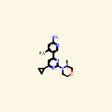 C[C@H]1COCCN1c1nc(-c2cnc(N)cc2C(F)(F)F)cc(C2CC2)n1